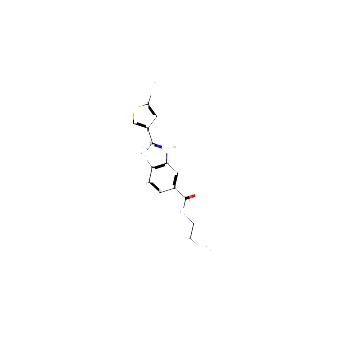 N#CCCNC(=O)c1ccc2[nH]c(-c3csc([N+](=O)[O-])c3)nc2c1